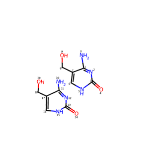 Nc1nc(=O)[nH]cc1CO.Nc1nc(=O)[nH]cc1CO